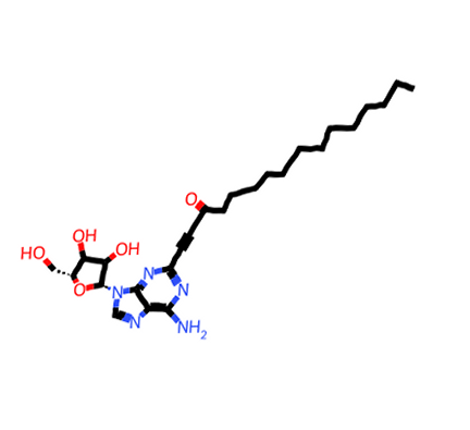 CCCCCCCCCCCCCC(=O)C#Cc1nc(N)c2ncn([C@@H]3O[C@H](CO)C(O)C3O)c2n1